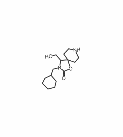 O=C1OC2(CCNCC2)C(CO)N1CC1CCCCC1